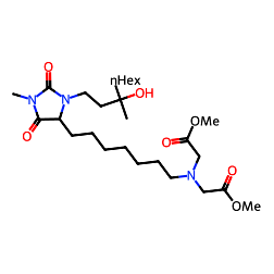 CCCCCCC(C)(O)CCN1C(=O)N(C)C(=O)C1CCCCCCCN(CC(=O)OC)CC(=O)OC